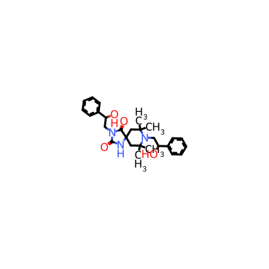 CC1(C)CC2(CC(C)(C)N1CC(O)c1ccccc1)NC(=O)N(CC(O)c1ccccc1)C2=O